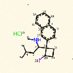 CNC(CC(C)C)C1(c2ccc3ccccc3c2)CCC1I.Cl